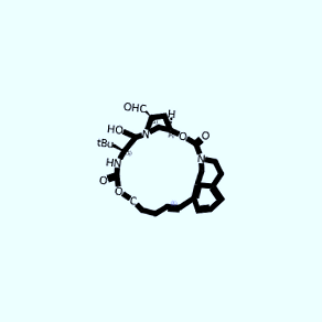 CC(C)(C)[C@@H]1NC(=O)OCCC/C=C/c2cccc3c2CN(CC3)C(=O)O[C@@H]2C[C@@H](C=O)N(C2)C1O